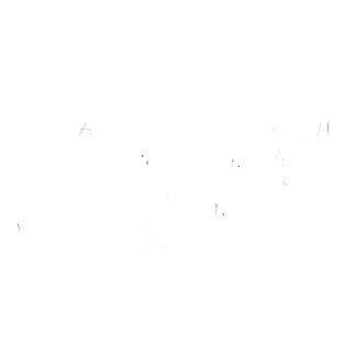 CS(=O)(=O)c1ccc(-c2nc3c(Br)cc(Br)cc3c(=O)o2)n1-c1ncccc1Cl